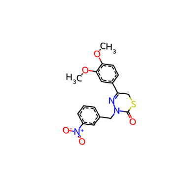 COc1ccc(C2=NN(Cc3cccc([N+](=O)[O-])c3)C(=O)SC2)cc1OC